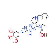 COc1cc(-n2cnc(Nc3nc4c(c(N5CCC[C@H]5CO)n3)CN(Cc3ccccc3)CC4)c2)cc(OC)c1OC